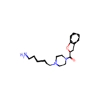 NCCCCCN1CCN(C(=O)C2Cc3ccccc3O2)CC1